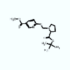 COC(=O)c1ccc(OCN2CCCC2C(=O)OC(C)(C)C)nc1